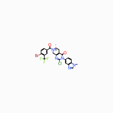 C[C@@H]1Cc2c(nc(Cl)n(-c3ccc4c(c3)ncn4C)c2=O)CN1C(=O)c1ccc(Br)c(C(F)(F)F)c1